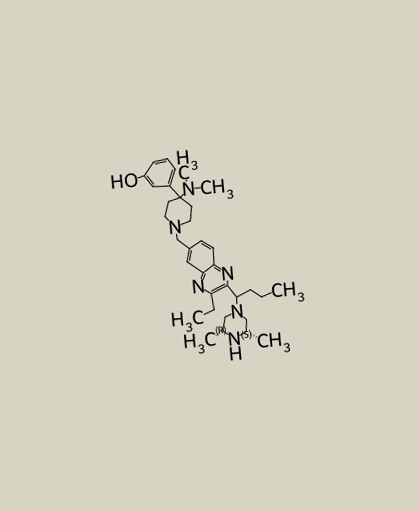 CCCC(c1nc2ccc(CN3CCC(c4cccc(O)c4)(N(C)C)CC3)cc2nc1CC)N1C[C@@H](C)N[C@@H](C)C1